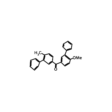 COc1ccc(C(=O)c2ccc(C)c(-c3ccccc3)c2)cc1-c1ccccc1